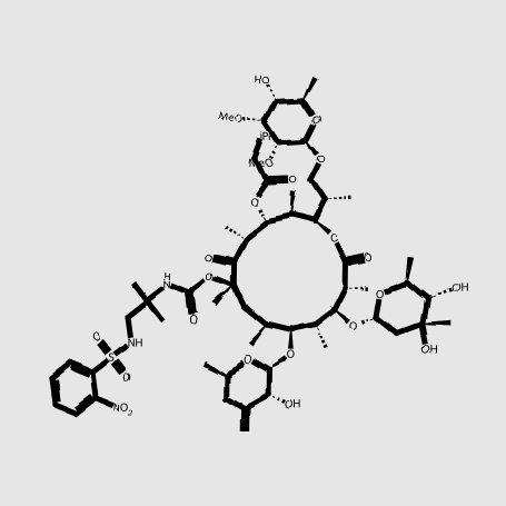 C=C1C[C@@H](C)O[C@@H](O[C@@H]2[C@@H](C)[C@H](O[C@H]3C[C@@](C)(O)[C@@H](O)[C@H](C)O3)[C@@H](C)C(=O)O[C@H]([C@@H](C)CO[C@@H]3O[C@H](C)[C@@H](O)[C@@H](OC)[C@H]3OC)[C@H](C)[C@@H](OC(=O)CC(C)C)[C@@H](C)C(=O)[C@@](C)(OC(=O)NC(C)(C)CNS(=O)(=O)c3ccccc3[N+](=O)[O-])C[C@@H]2C)[C@@H]1O